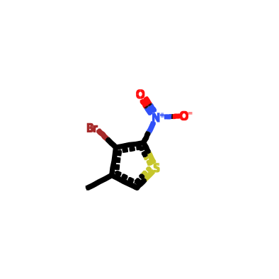 Cc1csc([N+](=O)[O-])c1Br